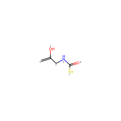 C=C(O)CNC(=O)S